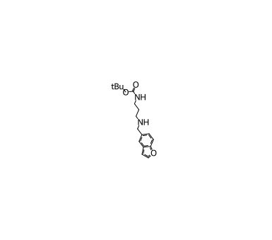 CC(C)(C)OC(=O)NCCCNCc1ccc2occc2c1